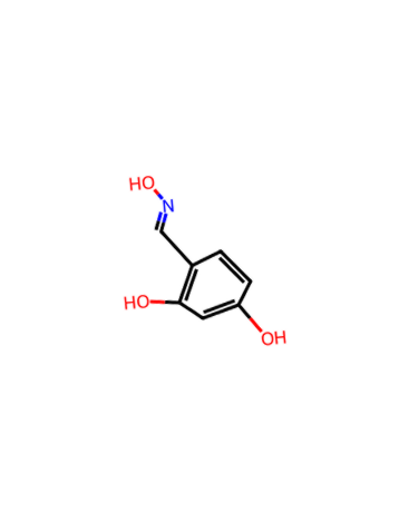 ON=Cc1ccc(O)cc1O